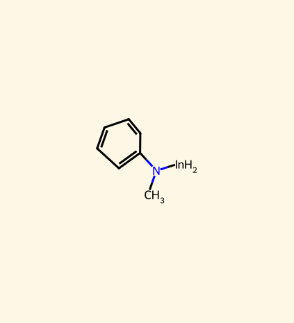 C[N]([InH2])c1ccccc1